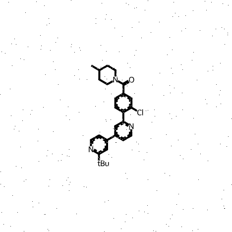 CC1CCN(C(=O)c2ccc(-c3cc(-c4ccnc(C(C)(C)C)c4)ccn3)c(Cl)c2)CC1